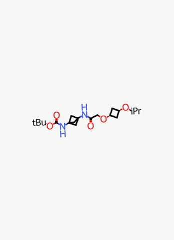 CC(C)O[C@H]1C[C@@H](OCC(=O)NC23CC(NC(=O)OC(C)(C)C)(C2)C3)C1